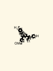 CCOc1nn(C2CCNCC2)cc1-c1cnc2c(c1)c(-c1ccc(OC)nc1)cn2S(=O)(=O)c1ccc(C)cc1